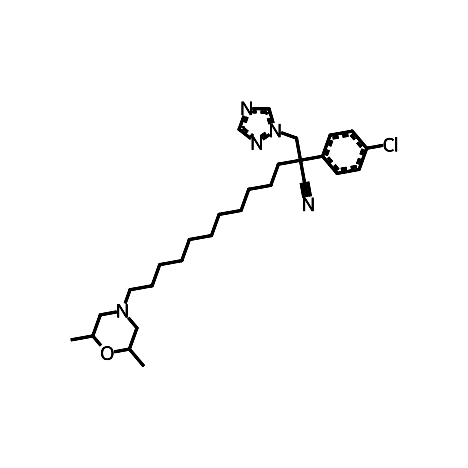 CC1CN(CCCCCCCCCCCC(C#N)(Cn2cncn2)c2ccc(Cl)cc2)CC(C)O1